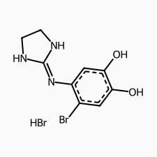 Br.Oc1cc(Br)c(N=C2NCCN2)cc1O